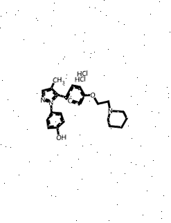 Cc1cnn(-c2ccc(O)cc2)c1-c1ccc(OCCN2CCCCC2)cc1.Cl.Cl